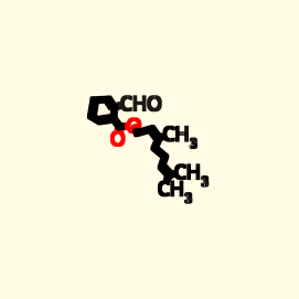 CC(C)=CCCC(C)=CCOC(=O)c1ccccc1C=O